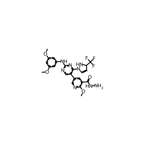 COc1cc(Nc2ncc(-c3cnc(OC)c(C(=O)NN)c3)c(N3C=CC(C(F)(F)F)N3)n2)cc(OC)c1